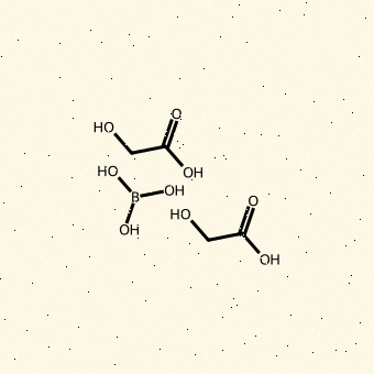 O=C(O)CO.O=C(O)CO.OB(O)O